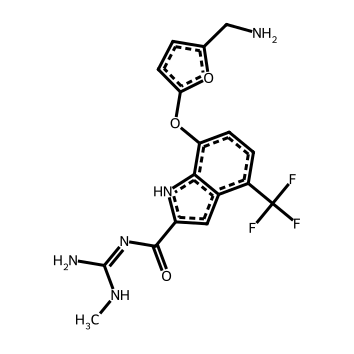 CNC(N)=NC(=O)c1cc2c(C(F)(F)F)ccc(Oc3ccc(CN)o3)c2[nH]1